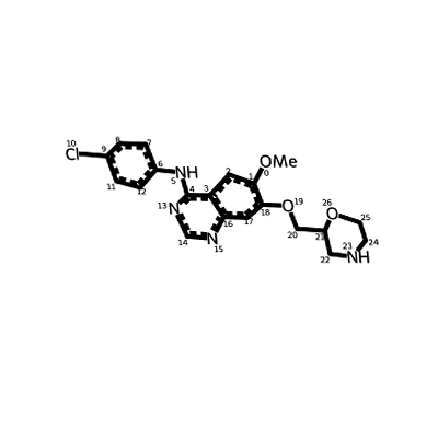 COc1cc2c(Nc3ccc(Cl)cc3)ncnc2cc1OCC1CNCCO1